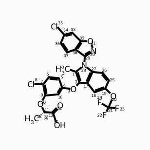 Cc1c(Oc2ccc(Cl)c(O[C@@H](C)C(=O)O)c2)c2cc(OC(F)(F)F)ccc2n1-c1noc2cc(Cl)ccc12